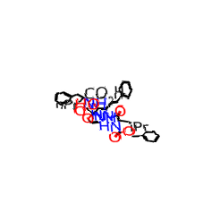 CCCC(Cc1ccccc1)(NC(=O)C1(C(O)C(CCc2ccccc2)NC(=O)C(CC(C)C)NC(=O)OCc2ccccc2)NC=CO1)C(=O)O